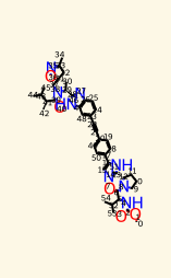 COC(=O)N[C@H](C(=O)N1CCC[C@H]1c1ncc(-c2ccc(C#Cc3ccc4nc([C@@H]5C[C@]6(CC(C)=NO6)CN5C(=O)[C@@H](C)C(C)C)[nH]c4c3)cc2)[nH]1)C(C)C